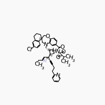 CC/C=C/[C@H](C#CCCc1ccccn1)[C@@H]1CC[C@H]1CN1C[C@@]2(CCCc3cc(Cl)ccc32)COc2ccc(C(=O)NS(=O)(=O)C(C)C)cc21